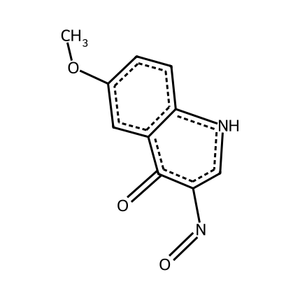 COc1ccc2[nH]cc(N=O)c(=O)c2c1